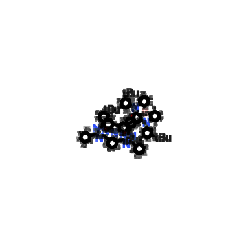 CC(C)(C)c1cc(N2c3ccccc3B3c4ccccc4N(c4cc(C(C)(C)C)cc(C(C)(C)C)c4)c4cc(-c5ccc6c(c5)c5ccccc5n6-c5c(-c6nc(-c7ccccc7)nc(-c7ccccc7)n6)cccc5-c5nc(-c6ccccc6)nc(-c6ccccc6)n5)cc2c43)cc(C(C)(C)C)c1